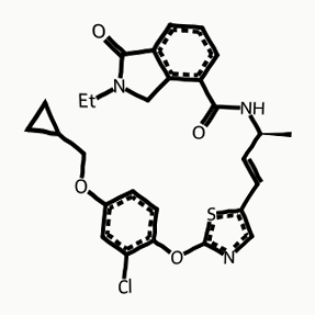 CCN1Cc2c(C(=O)N[C@@H](C)/C=C/c3cnc(Oc4ccc(OCC5CC5)cc4Cl)s3)cccc2C1=O